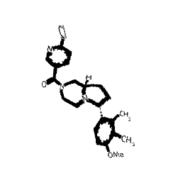 COc1ccc([C@H]2CC[C@H]3CN(C(=O)c4ccc(Cl)nc4)CCN32)c(C)c1C